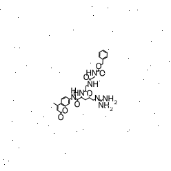 Cc1cc(=O)oc2cc(NC(=O)C(CCCN=C(N)N)NC(=O)CNC(=O)CNC(=O)OCc3ccccc3)ccc12